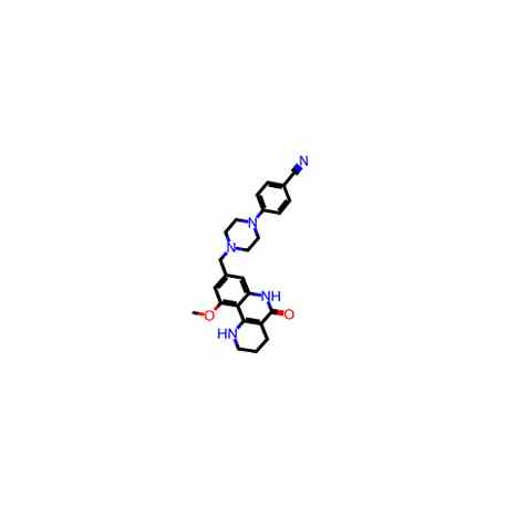 COc1cc(CN2CCN(c3ccc(C#N)cc3)CC2)cc2[nH]c(=O)c3c(c12)NCCC3